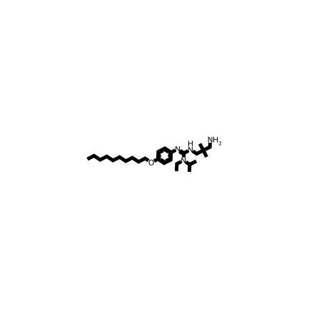 CCCCCCCCCCOc1ccc(/N=C(/NCC(C)(C)CN)N(CC)C(C)C)cc1